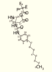 CCCCCCCCc1ccc(NC(=O)NC2(CC(=O)OC(=O)C(F)(F)F)CNC2)cc1